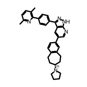 Cc1ccc(C)c(-c2ccc(-c3n[nH]c4ncc(-c5ccc6c(c5)CC[C@@H](N5CCCC5)CC6)cc34)cc2)n1